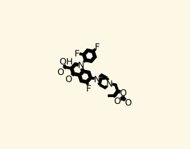 Cc1oc(=O)oc1CN1CC2CC1CN2c1cc2c(cc1F)c(=O)c(C(=O)O)cn2-c1ccc(F)cc1F